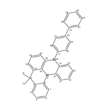 CC1(C)c2ccccc2N2c3ccccc3N(c3ccc(-c4ccccc4)cc3)c3cccc1c32